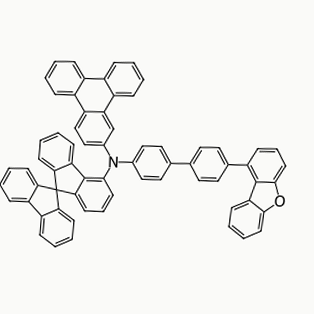 c1ccc2c(c1)-c1ccccc1C21c2ccccc2-c2c(N(c3ccc(-c4ccc(-c5cccc6oc7ccccc7c56)cc4)cc3)c3ccc4c5ccccc5c5ccccc5c4c3)cccc21